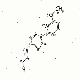 COc1ccnc(-c2ccc(/C=C/C=O)cc2)n1